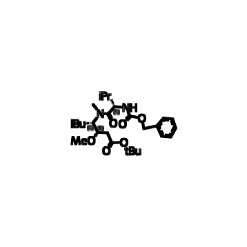 CCC(C)[C@@H]([C@@H](CC(=O)OC(C)(C)C)OC)N(C)C(=O)[C@@H](NC(=O)OCc1ccccc1)C(C)C